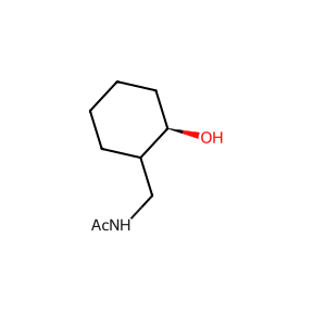 CC(=O)NCC1CCCC[C@H]1O